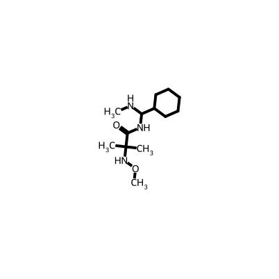 CNC(NC(=O)C(C)(C)NOC)C1CCCCC1